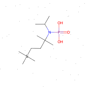 CC(C)N(C(C)(C)CC[Si](C)(C)C)P(=O)(O)O